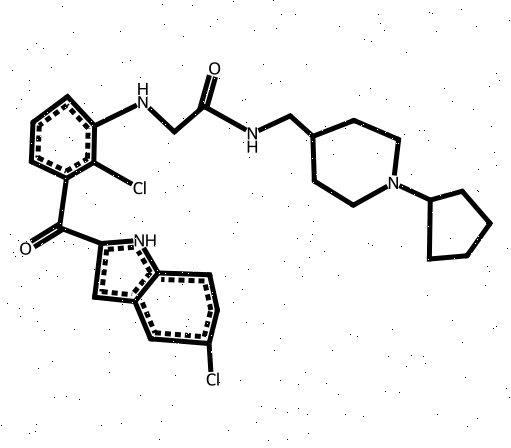 O=C(CNc1cccc(C(=O)c2cc3cc(Cl)ccc3[nH]2)c1Cl)NCC1CCN(C2CCCC2)CC1